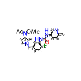 CON(C(C)=O)[C@@H]1CCN(Cc2ccc(F)c(NC(=O)Nc3ccc(C)nc3)c2)C1